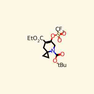 CCOC(=O)C1=C(OS(=O)(=O)C(F)(F)F)CN(C(=O)OC(C)(C)C)C2(CC2)C1